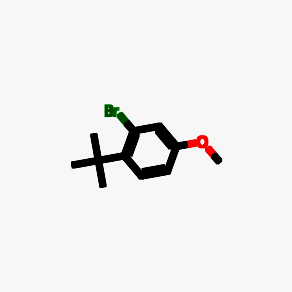 COc1ccc(C(C)(C)C)c(Br)c1